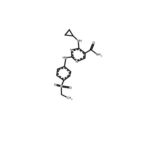 CCS(=O)(=O)c1ccc(Nc2ncc(C(N)=O)c(NC3CC3)n2)cc1